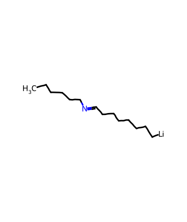 [Li][CH2]CCCCCCC=NCCCCCC